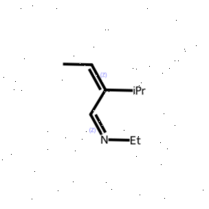 C/C=C(\C=N/CC)C(C)C